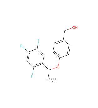 O=C(O)C(Oc1ccc(CO)cc1)c1cc(F)c(F)cc1F